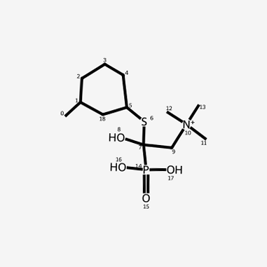 CC1CCCC(SC(O)(C[N+](C)(C)C)P(=O)(O)O)C1